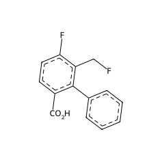 O=C(O)c1ccc(F)c(CF)c1-c1ccccc1